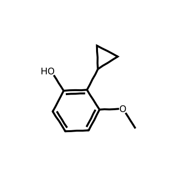 COc1cccc(O)c1C1CC1